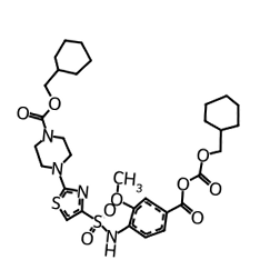 COc1cc(C(=O)OC(=O)OCC2CCCCC2)ccc1NS(=O)(=O)c1csc(N2CCN(C(=O)OCC3CCCCC3)CC2)n1